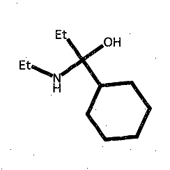 CCNC(O)(CC)C1CCCCC1